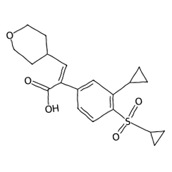 O=C(O)C(=CC1CCOCC1)c1ccc(S(=O)(=O)C2CC2)c(C2CC2)c1